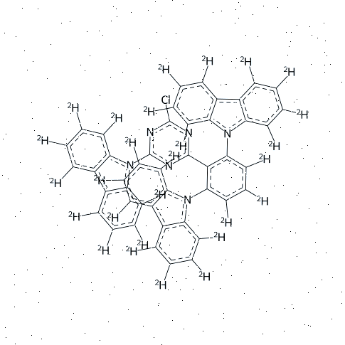 [2H]c1c([2H])c(-n2c3c([2H])c([2H])c([2H])c([2H])c3c3c([2H])c([2H])c([2H])c([2H])c32)c(-c2nc(Cl)nc(-n3c4c([2H])c([2H])c([2H])c([2H])c4c4c([2H])c([2H])c([2H])c([2H])c43)n2)c(-n2c3c([2H])c([2H])c([2H])c([2H])c3c3c([2H])c([2H])c([2H])c([2H])c32)c1[2H]